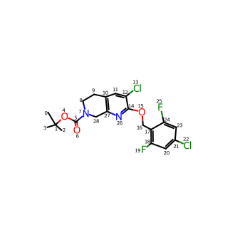 CC(C)(C)OC(=O)N1CCc2cc(Cl)c(OCc3c(F)cc(Cl)cc3F)nc2C1